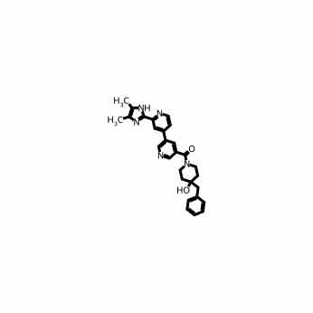 Cc1nc(-c2cc(-c3cncc(C(=O)N4CCC(O)(Cc5ccccc5)CC4)c3)ccn2)[nH]c1C